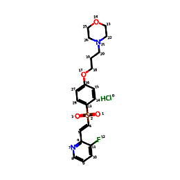 Cl.O=S(=O)(C=Cc1ncccc1F)c1ccc(OCCCN2CCOCC2)cc1